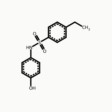 CCc1ccc(S(=O)(=O)Nc2ccc(O)cc2)cc1